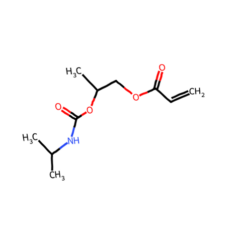 C=CC(=O)OCC(C)OC(=O)NC(C)C